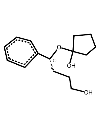 OCCC[C@@H](OC1(O)CCCC1)c1ccccc1